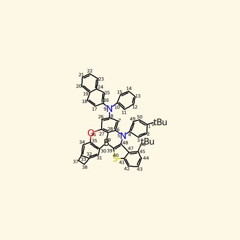 CC(C)(C)c1ccc(N2c3cc(N(c4ccccc4)c4ccc5ccccc5c4)cc4c3B(c3cc5c(cc3O4)CC5)c3sc4cccc(C(C)(C)C)c4c32)cc1